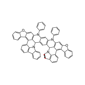 c1ccc(N2c3cc4c(cc3C3c5c2cc2oc6ccccc6c2c5-c2cccc5c6ccccc6n3c25)C2c3c(cc5oc6ccccc6c5c3-c3cccc5c6ccccc6n2c35)N4c2ccccc2)cc1